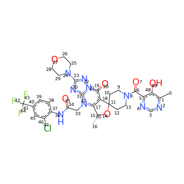 Cc1ncnc(C(=O)N2CCC3(CC2)O[C@H](C)c2c3c(=O)n3nc(N4CCOCC4)nc3n2CC(=O)Nc2ccc(C(F)(F)F)cc2Cl)c1O